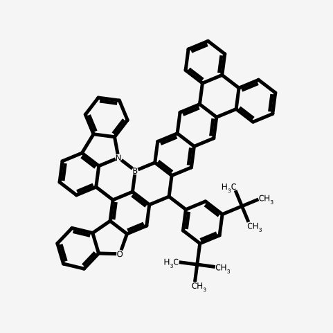 CC(C)(C)c1cc(C2c3cc4cc5c6ccccc6c6ccccc6c5cc4cc3B3c4c2cc2oc5ccccc5c2c4-c2cccc4c5ccccc5n3c24)cc(C(C)(C)C)c1